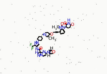 C[C@@H]1CN(C[C@H]2CC[C@H](n3cc(NC(=O)c4cnn5ccc(N6C[C@@H]7C[C@H]6CO7)nc45)c(C(F)F)n3)CC2)CC[C@H]1OCC#Cc1cccc2c1n(C)c(=O)n2C1CCC(=O)NC1=O